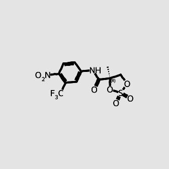 C[C@]1(C(=O)Nc2ccc([N+](=O)[O-])c(C(F)(F)F)c2)COS(=O)(=O)O1